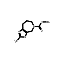 CC(C)(C)OC(=O)N1CCCc2nc(C(F)(F)F)sc2C1